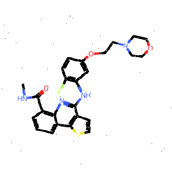 CNC(=O)c1cccc2c1nc(Nc1cc(OCCN3CCOCC3)ccc1F)c1ccsc12